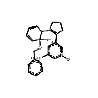 O=C(O)c1cc(C2=C(C3C=CC=CC3(OCc3ccccc3)C(F)(F)F)CCC2)c[n+]([O-])c1